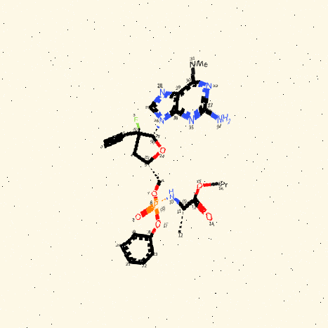 C#C[C@@]1(F)C[C@@H](CO[P@@](=O)(N[C@@H](C)C(=O)OC(C)C)Oc2ccccc2)O[C@H]1n1cnc2c(NC)nc(N)nc21